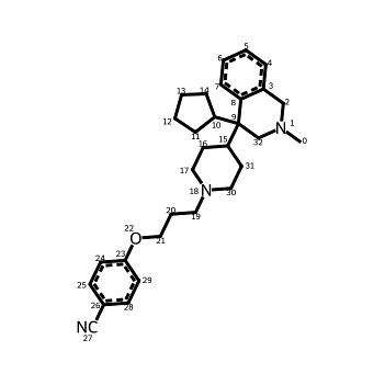 CN1Cc2ccccc2C(C2CCCC2)(C2CCN(CCCOc3ccc(C#N)cc3)CC2)C1